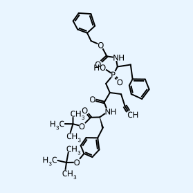 C#CCC(CP(=O)(O)C(Cc1ccccc1)NC(=O)OCc1ccccc1)C(=O)N[C@@H](Cc1ccc(OC(C)(C)C)cc1)C(=O)OC(C)(C)C